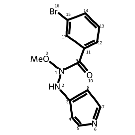 CON(Nc1ccncc1)C(=O)c1cccc(Br)c1